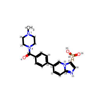 CN1CCN(C(=O)c2ccc(-c3ccc4ncc([SH](=O)=O)n4c3)cc2)CC1